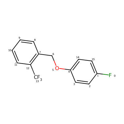 Fc1ccc(OCc2ccc[c]c2C(F)(F)F)cc1